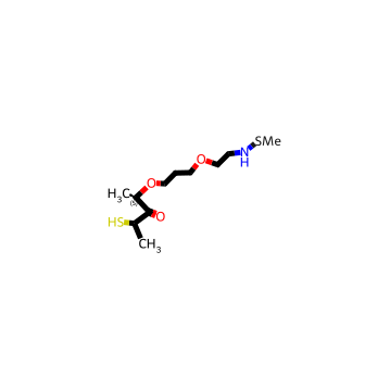 CSNCCOCCCO[C@@H](C)C(=O)C(C)S